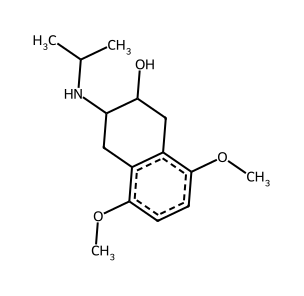 COc1ccc(OC)c2c1CC(O)C(NC(C)C)C2